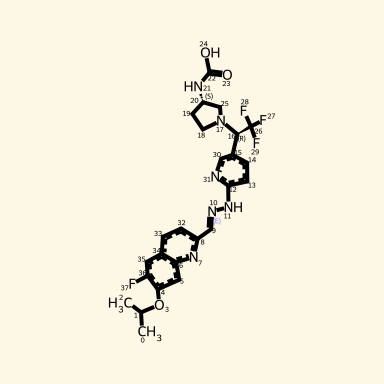 CC(C)Oc1cc2nc(/C=N/Nc3ccc([C@@H](N4CC[C@H](NC(=O)O)C4)C(F)(F)F)cn3)ccc2cc1F